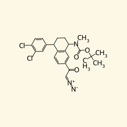 CN(C(=O)OC(C)(C)C)C1CCC(c2ccc(Cl)c(Cl)c2)c2ccc(C(=O)C=[N+]=[N-])cc21